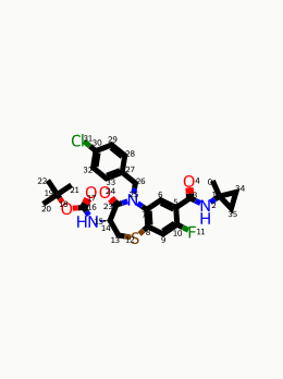 CC1(NC(=O)c2cc3c(cc2F)SC[C@H](NC(=O)OC(C)(C)C)C(=O)N3Cc2ccc(Cl)cc2)CC1